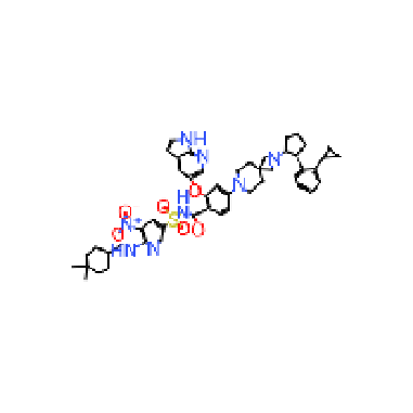 CC1(C)CCC(CNc2ncc(S(=O)(=O)NC(=O)c3ccc(N4CCC5(CC4)CN([C@H]4CCC[C@H]4c4ccccc4C4CC4)C5)cc3Oc3cnc4[nH]ccc4c3)cc2[N+](=O)[O-])CC1